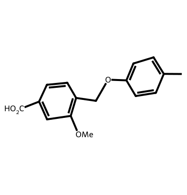 COc1cc(C(=O)O)ccc1COc1ccc(C)cc1